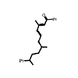 CC(C=CCC(C)CCC(C)C(C)C)=CC(=O)C(C)C